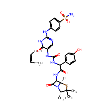 CC1(C)S[C@@H]2[C@H](NC(=O)C(NC(=O)Nc3cnc(Nc4ccc(S(N)(=O)=O)cc4)[nH]c3=O)c3ccc(O)cc3)C(=O)N2[C@H]1C(=O)O.O=C(O)/C=C\C(=O)O